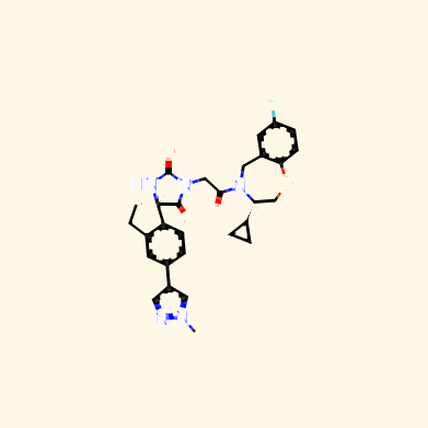 Cn1cc(-c2ccc3c(c2)CC[C@@]32NC(=O)N(CC(=O)N3Cc4cc(F)ccc4OC[C@H]3C3CC3)C2=O)cn1